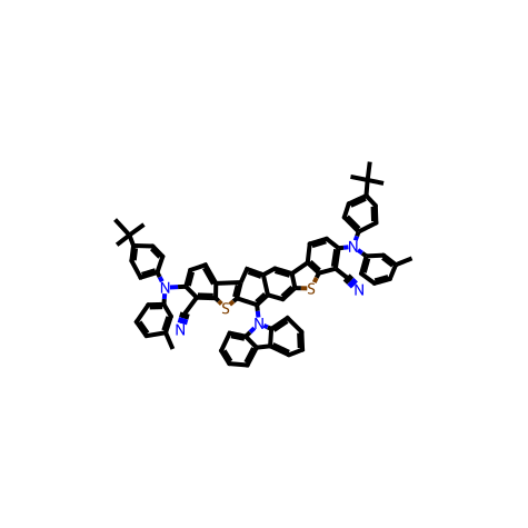 Cc1cccc(N(c2ccc(C(C)(C)C)cc2)c2ccc3c(sc4cc5c(-n6c7ccccc7c7ccccc76)c6sc7c(C#N)c(N(c8ccc(C(C)(C)C)cc8)c8cccc(C)c8)ccc7c6cc5cc43)c2C#N)c1